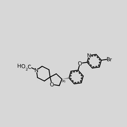 O=C(O)N1CCC2(CC1)C[C@H](c1cccc(Oc3ccc(Br)cn3)c1)CO2